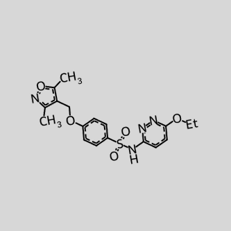 CCOc1ccc(NS(=O)(=O)c2ccc(OCc3c(C)noc3C)cc2)nn1